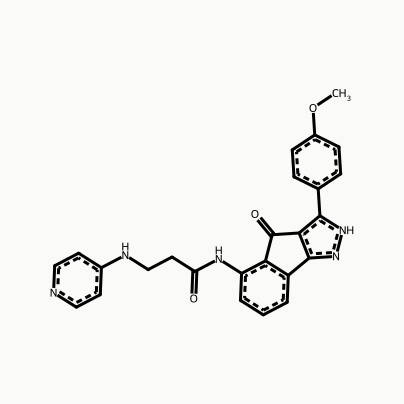 COc1ccc(-c2[nH]nc3c2C(=O)c2c(NC(=O)CCNc4ccncc4)cccc2-3)cc1